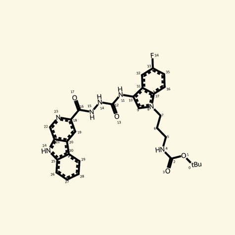 CC(C)(C)OC(=O)NCCCn1cc(NC(=O)NNC(=O)c2cc3c(cn2)[nH]c2ccccc23)c2cc(F)ccc21